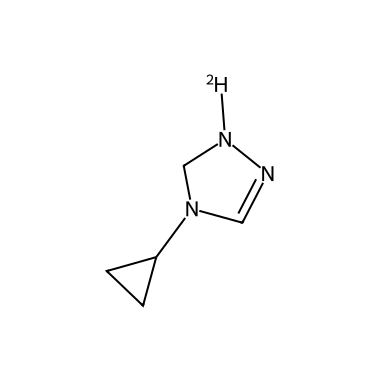 [2H]N1CN(C2CC2)C=N1